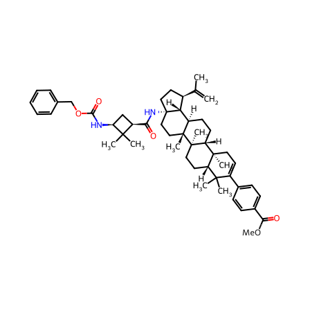 C=C(C)[C@@H]1CC[C@]2(NC(=O)[C@@H]3C[C@H](NC(=O)OCc4ccccc4)C3(C)C)CC[C@]3(C)[C@H](CC[C@@H]4[C@@]5(C)CC=C(c6ccc(C(=O)OC)cc6)C(C)(C)[C@@H]5CC[C@]43C)[C@@H]12